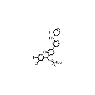 CC(C)(C)[Si](C)(C)OCC(c1ccc(F)c(Cl)c1)n1ccc(-c2ccnc(N[C@@H]3CCOC[C@H]3F)n2)cc1=O